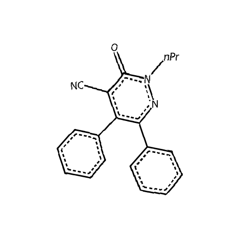 CCCn1nc(-c2ccccc2)c(-c2ccccc2)c(C#N)c1=O